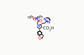 CCCON(CCC)C(=O)CN1C[C@H](c2ccc3c(c2)CCO3)[C@@H](C(=O)O)[C@@H]1CCc1ncccn1